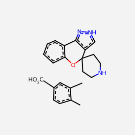 Cc1ccc(C(=O)O)cc1C.c1ccc2c(c1)OC1(CCNCC1)c1c[nH]nc1-2